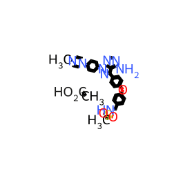 CC(=O)O.CN1CCN(C2CCC(n3nc(-c4ccc(Oc5ccc(CNS(C)(=O)=O)cc5)cc4)c4c(N)ncnc43)CC2)CC1